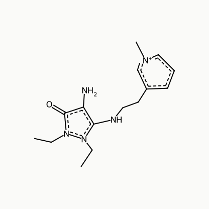 CCn1c(NCCc2ccc[n+](C)c2)c(N)c(=O)n1CC